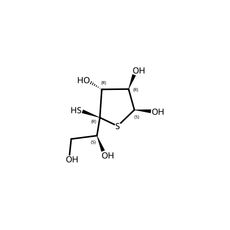 OC[C@H](O)[C@@]1(S)S[C@H](O)[C@H](O)[C@H]1O